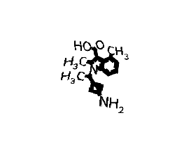 Cc1cccc2c1c(C(=O)O)c(C)n2C(C)C12CC(N)(C1)C2